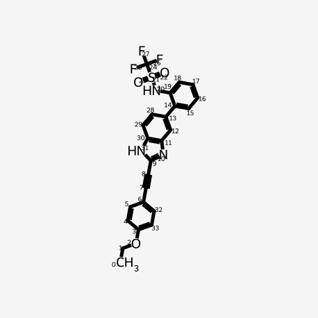 CCOc1ccc(C#Cc2nc3cc(-c4ccccc4NS(=O)(=O)C(F)(F)F)ccc3[nH]2)cc1